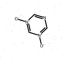 [O-][n+]1cnc[n+]([O-])c1